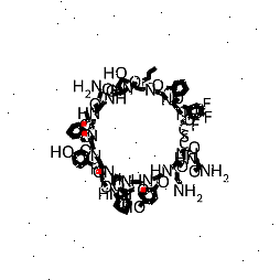 CCCC[C@H]1C(=O)N2C[C@@H](O)C[C@@H]2C(=O)N[C@@H](CC(N)=O)C(=O)N[C@@H](C(C)C)C(=O)N(C)[C@@H](Cc2ccccc2)C(=O)N[C@@H](Cc2ccc(O)cc2)C(=O)N2CCOC[C@@H]2C(=O)N[C@@H](Cc2c[nH]c3ccccc23)C(=O)N[C@@H](Cc2ccc(O)cc2)C(=O)N[C@@H](CCCN)C(=O)N[C@H](C(=O)NCC(N)=O)CSCC(=O)N[C@@H](Cc2cc(F)c(F)c(F)c2)C(=O)N(C)[C@@H](Cc2ccccc2)C(=O)N1C